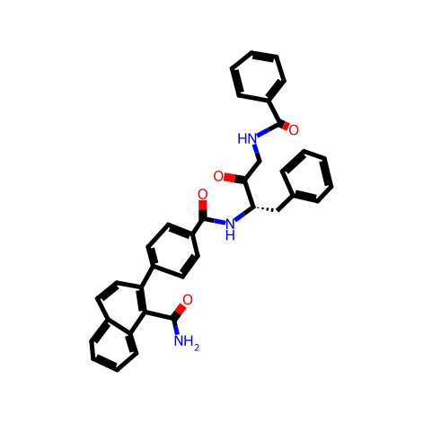 NC(=O)c1c(-c2ccc(C(=O)N[C@@H](Cc3ccccc3)C(=O)CNC(=O)c3ccccc3)cc2)ccc2ccccc12